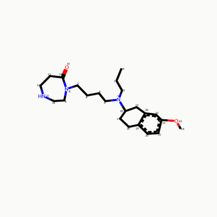 CCCN(CCCCN1CCNCCC1=O)C1CCc2ccc(OC)cc2C1